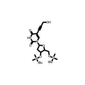 CC(C)(C)[Si](C)(C)OCC1OC(n2cc(C#CCO)c(=O)[nH]c2=O)CC1O[Si](C)(C)C(C)(C)C